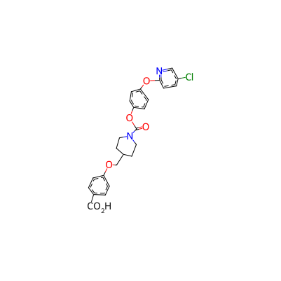 O=C(O)c1ccc(OCC2CCN(C(=O)Oc3ccc(Oc4ccc(Cl)cn4)cc3)CC2)cc1